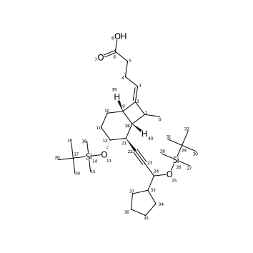 CC1/C(=C/CCC(=O)O)[C@H]2CC[C@@H](O[Si](C)(C)C(C)(C)C)[C@H](C#CC(O[Si](C)(C)C(C)(C)C)C3CCCC3)[C@@H]12